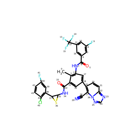 Cc1c(NC(=O)c2cc(F)cc(C(F)(F)F)c2)cc(-c2ccc3ncnn3c2C#N)cc1C(=O)NC1SC1c1cc(F)ccc1Cl